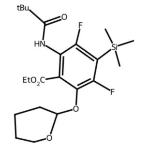 CCOC(=O)c1c(NC(=O)C(C)(C)C)c(F)c([Si](C)(C)C)c(F)c1OC1CCCCO1